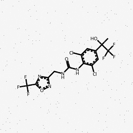 CC(O)(c1cc(Cl)c(NC(=O)NCc2noc(C(F)(F)F)n2)c(Cl)c1)C(F)(F)F